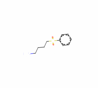 Cl.NCCCCS(=O)(=O)c1ccccc1